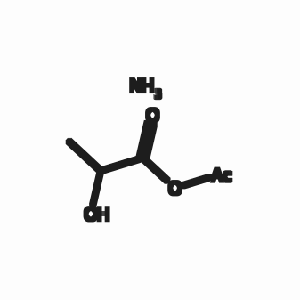 CC(=O)OC(=O)C(C)O.N